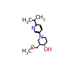 COC[C@H]1CN(c2ccc(C(C)C)nc2)CC[C@@H]1O